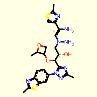 Cc1nc(C(OC2COC2C)[C@@H](O)CN(N)/C=C(\N)c2csc(C)n2)n(-c2ccc3nc(C)sc3c2)n1